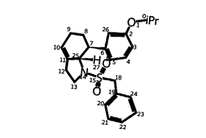 CC(C)Oc1cccc([C@@H]2CCC=C3CCN(S(=O)(=O)Cc4ccccc4)[C@H]32)c1